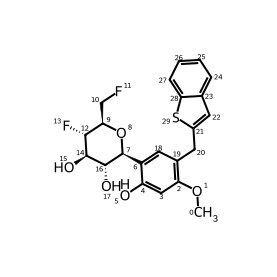 COc1cc(O)c([C@@H]2O[C@H](CF)[C@@H](F)[C@H](O)[C@H]2O)cc1Cc1cc2ccccc2s1